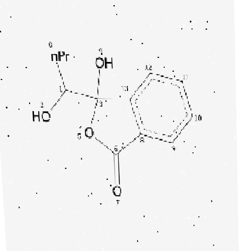 CCCC(O)C1(O)OC(=O)c2ccccc21